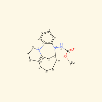 CC(C)(C)OC(=O)NN1c2ccccc2N2CCCC3=C2CC1CCCC3